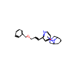 CN1CC2CCC(C1)N2c1ccnc(/C=C/COCc2ccccc2)c1